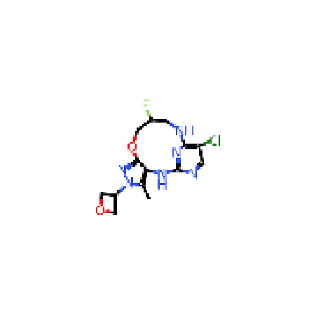 Cc1c2c(nn1C1COC1)OCC(F)CNc1nc(ncc1Cl)N2